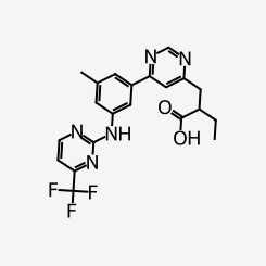 CCC(Cc1cc(-c2cc(C)cc(Nc3nccc(C(F)(F)F)n3)c2)ncn1)C(=O)O